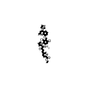 CCOC(=O)c1ccc(/C=C/C(=O)C(N)c2cccn2-c2ccc(Cl)c(COc3cccc4c(-n5ccnc5)cc(C)nc34)c2Cl)cn1